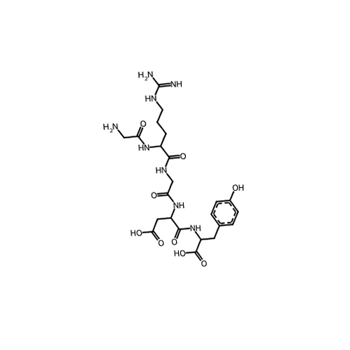 N=C(N)NCCCC(NC(=O)CN)C(=O)NCC(=O)NC(CC(=O)O)C(=O)NC(Cc1ccc(O)cc1)C(=O)O